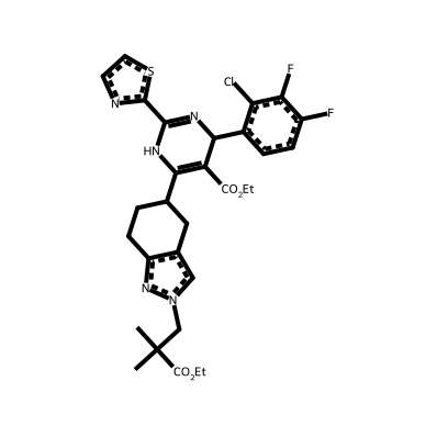 CCOC(=O)C1=C(C2CCc3nn(CC(C)(C)C(=O)OCC)cc3C2)NC(c2nccs2)=NC1c1ccc(F)c(F)c1Cl